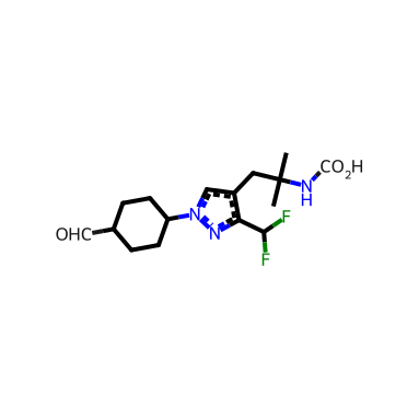 CC(C)(Cc1cn(C2CCC(C=O)CC2)nc1C(F)F)NC(=O)O